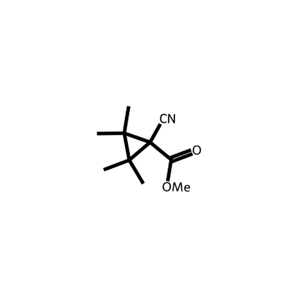 COC(=O)C1(C#N)C(C)(C)C1(C)C